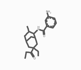 CCC(=O)C1(CC)CC2CC(C)C(NC(=O)c3cccc(N)c3)C(C2)C1